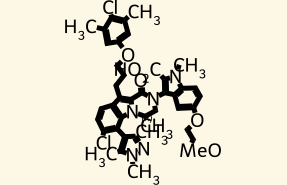 COCCOc1ccc2c(c1)c(N1C[C@@H](C)n3c(c(CCCOc4cc(C)c(Cl)c(C)c4)c4ccc(Cl)c(-c5c(C)nn(C)c5C)c43)C1=O)c(C(=O)O)n2C